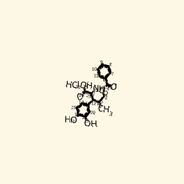 C[C@H](COC(=O)c1ccccc1)C(c1ccc(O)c(O)c1)[C@H](N)C(=O)O.Cl